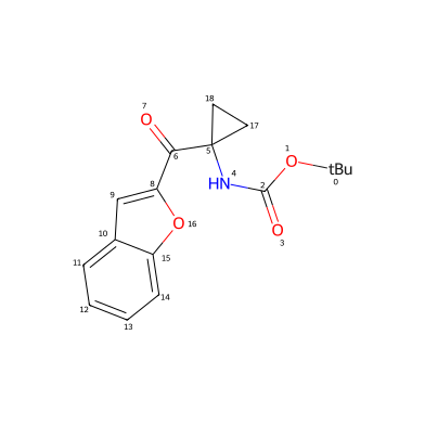 CC(C)(C)OC(=O)NC1(C(=O)c2cc3ccccc3o2)CC1